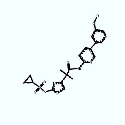 CCOc1cncc(-c2ccc(NC(=O)C(C)(C)c3csc(NS(=O)(=O)C4CC4)n3)nc2)c1